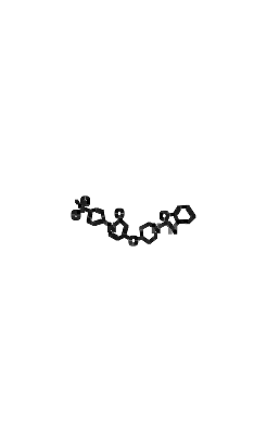 CS(=O)(=O)c1ccc(-n2ccc(OC3CCN(c4nc5ccccc5o4)CC3)cc2=O)cc1